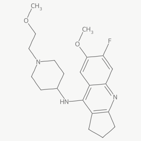 COCCN1CCC(Nc2c3c(nc4cc(F)c(OC)cc24)CCC3)CC1